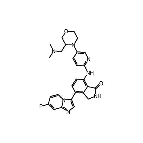 CN(C)CC1COCCN1c1ccc(Nc2ccc(-c3cnc4cc(F)ccn34)c3c2C(=O)NC3)nc1